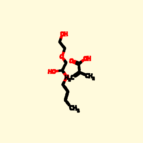 C=C(C)C(=O)O.CCCCOC(O)COCCO